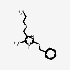 Cc1[nH]c(SCc2ccccc2)nc1CSCCN